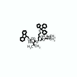 CC(C)[C@H](NC(=O)OCC1c2ccccc2-c2ccccc21)C(=O)O[C@H](C=CCCSC(c1ccccc1)(c1ccccc1)c1ccccc1)CC(=O)OCC[Si](C)(C)C